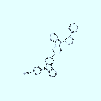 N#Cc1ccc(-n2c3ccccc3c3cc(-c4ccc5c(c4)c4ccccc4n5-c4cccc(-c5ccccc5)c4)ccc32)cc1